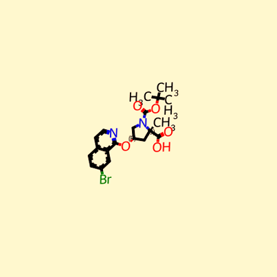 CC(C)(C)OC(=O)N1C[C@H](Oc2nccc3ccc(Br)cc23)C[C@@]1(C)C(=O)O